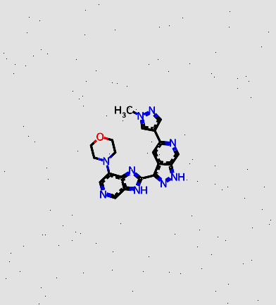 Cn1cc(-c2cc3c(-c4nc5c(N6CCOCC6)cncc5[nH]4)n[nH]c3cn2)cn1